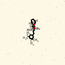 CNC(C(=O)CN1[C@@H]2CC[C@H]1C[C@H](CC(=O)CCCC1CC(C)(C)CC(C)(C)C1)C2)C(C)(C)C